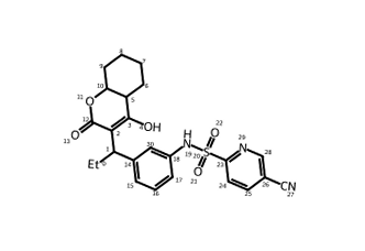 CCC(C1=C(O)C2CCCCC2OC1=O)c1cccc(NS(=O)(=O)c2ccc(C#N)cn2)c1